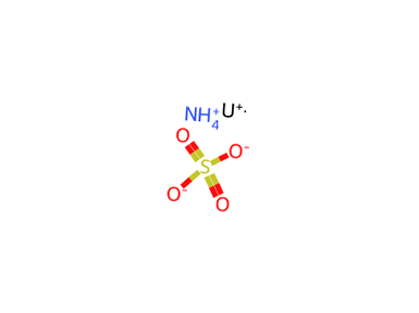 O=S(=O)([O-])[O-].[NH4+].[U+]